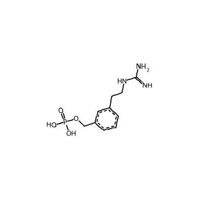 N=C(N)NCCc1cccc(COP(=O)(O)O)c1